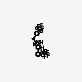 O=S(=O)(Nc1ccccc1-c1ccc2[nH]c(C3CC3c3ccc(S(=O)(=O)C(F)(F)F)cc3)nc2c1)C(F)(F)F